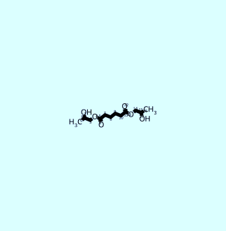 CC(O)COC(=O)CCCCC(=O)OCC(C)O